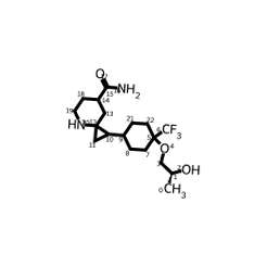 C[C@H](O)COC1(C(F)(F)F)CCC(C2CC23CC(C(N)=O)CCN3)CC1